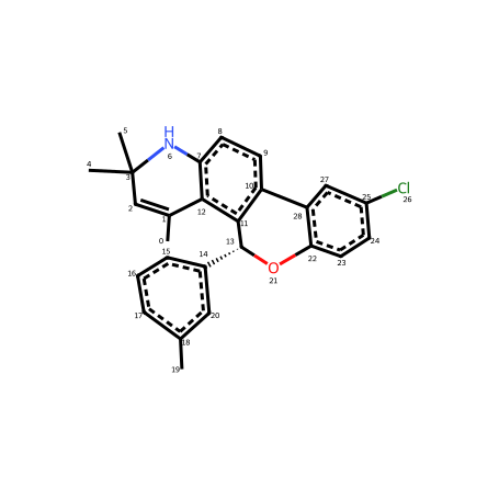 CC1=CC(C)(C)Nc2ccc3c(c21)[C@@H](c1cccc(C)c1)Oc1ccc(Cl)cc1-3